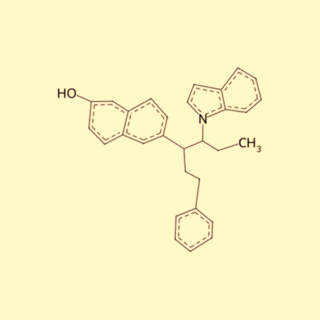 CCC(C(CCc1ccccc1)c1ccc2cc(O)ccc2c1)n1ccc2ccccc21